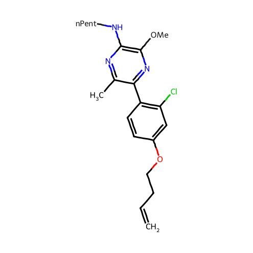 C=CCCOc1ccc(-c2nc(OC)c(NCCCCC)nc2C)c(Cl)c1